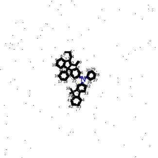 C=CC1=C(/C=C\C)c2ccccc2C1(c1ccccc1)c1ccc(N(c2ccccc2)c2ccc3c(c2)C(C)(C)c2ccccc2-3)cc1